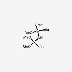 CCCC[Si](N[Si](CCCC)(OC)OC)(OC)OC